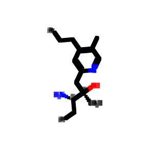 Cc1cnc(C[C@](O)(C(=O)O)[C@@H](N)CC(C)C)cc1CCC(C)C